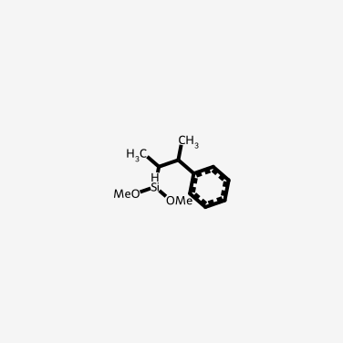 CO[SiH](OC)C(C)C(C)c1ccccc1